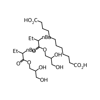 CCCCC(CC)C(=O)OCC(O)CO.CCCCC(CC)C(=O)OCC(O)CO.O=C(O)CCCCCCCCCCC(=O)O